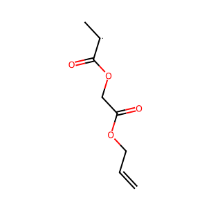 C=CCOC(=O)COC(=O)[CH]C